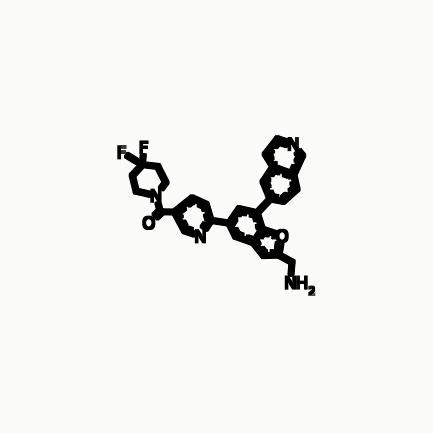 NCc1cc2cc(-c3ccc(C(=O)N4CCC(F)(F)CC4)cn3)cc(-c3ccc4cnccc4c3)c2o1